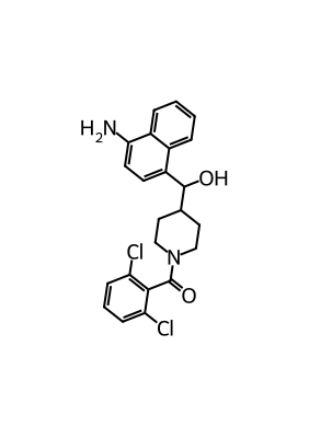 Nc1ccc(C(O)C2CCN(C(=O)c3c(Cl)cccc3Cl)CC2)c2ccccc12